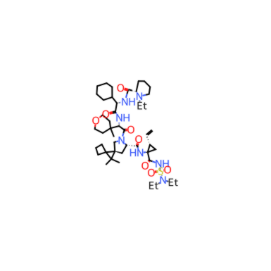 C=C[C@@H]1C[C@]1(NC(=O)[C@@H]1C[C@@]2(CN1C(=O)[C@@H](NC(=O)[C@@H](NC(=O)[C@@H]1CCCCN1CC)C1CCCCC1)C1(C)CCOCC1)C(C)(C)C21CCC1)C(=O)NS(=O)(=O)N(CC)CC